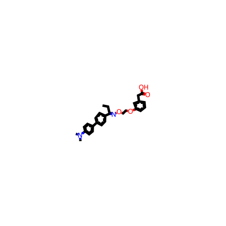 CC/C(=N\OCCOc1cccc(CC(=O)O)c1)c1ccc(-c2ccc(N(C)C)cc2)cc1